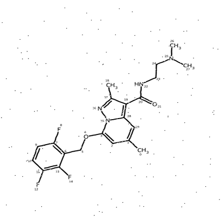 Cc1cc(OCc2c(F)ccc(F)c2F)n2nc(C)c(C(=O)NCCN(C)C)c2c1